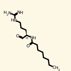 CCCCCCCC(=O)N[C@@H]([C]=O)CCCNC(=N)N